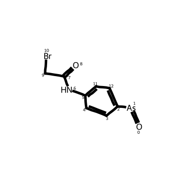 O=[As]c1ccc(NC(=O)CBr)cc1